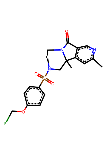 Cc1cc2c(cn1)C(=O)N1CCN(S(=O)(=O)c3ccc(OCF)cc3)CC21C